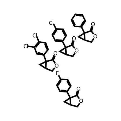 O=C1OCC2CC12c1ccc(Cl)c(Cl)c1.O=C1OCC2CC12c1ccc(Cl)cc1.O=C1OCC2CC12c1ccc(F)cc1.O=C1OCC2CC12c1ccccc1